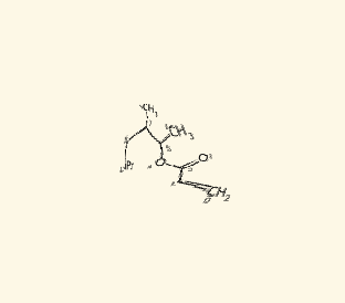 C=CC(=O)OC(C)C(C)CC(C)C